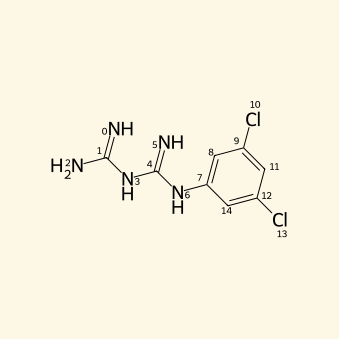 N=C(N)NC(=N)Nc1cc(Cl)cc(Cl)c1